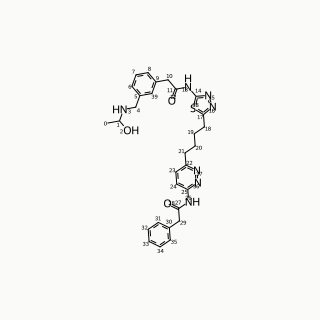 CC(O)NCc1cccc(CC(=O)Nc2nnc(CCCCc3ccc(NC(=O)Cc4ccccc4)nn3)s2)c1